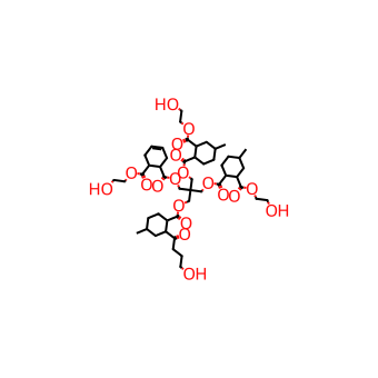 CC1CCC(C(=O)OCC(COC(=O)C2CC=CCC2C(=O)OCCO)(COC(=O)C2CCC(C)CC2C(=O)OCCO)COC(=O)C2CCC(C)CC2C(=O)OCCO)C(C(=O)CCCO)C1